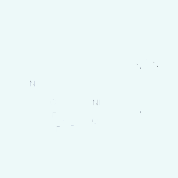 Cc1ccc(C(=O)Nc2ccc(OCCN3CCCC3)c(C(F)(F)F)c2)cc1C#Cc1cnc2ccccn12